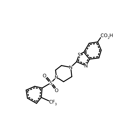 O=C(O)c1ccc2nc(N3CCN(S(=O)(=O)c4ccccc4C(F)(F)F)CC3)sc2c1